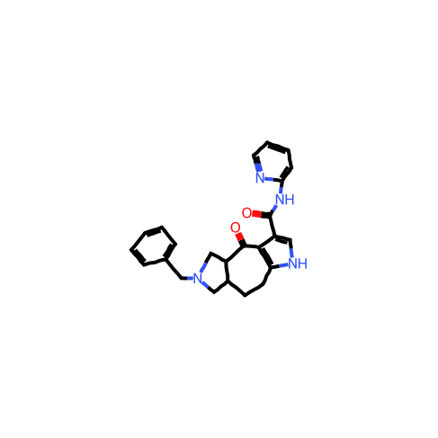 O=C(Nc1ccccn1)c1c[nH]c2c1C(=O)C1CN(Cc3ccccc3)CC1CC2